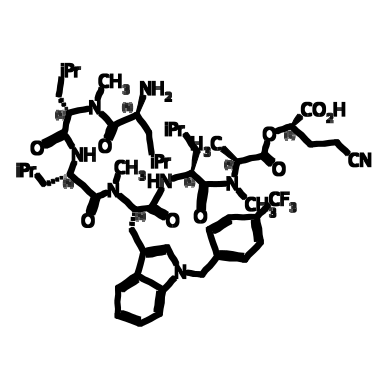 CC(C)C[C@H](NC(=O)[C@H](Cc1cn(Cc2ccc(C(F)(F)F)cc2)c2ccccc12)N(C)C(=O)[C@H](CC(C)C)NC(=O)[C@H](CC(C)C)N(C)C(=O)[C@@H](N)CC(C)C)C(=O)N(C)[C@@H](C)C(=O)O[C@H](CCC#N)C(=O)O